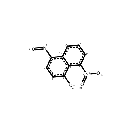 O=Nc1ccc(O)c2c([N+](=O)[O-])cccc12